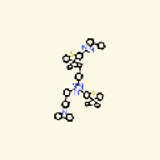 c1ccc(-c2cccc3nc(-c4ccc5c(c4)Sc4ccccc4[C@@]54c5ccccc5-c5c(-c6ccc(-c7nc(-c8cccc(-c9ccc(-n%10c%11ccccc%11c%11ccccc%11%10)cc9)c8)nc(-c8ccc9c(c8)Sc8ccccc8C98c9ccccc9-c9ccccc98)n7)cc6)cccc54)cnc23)cc1